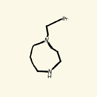 C[C](C)CN1CCCNCC1